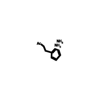 CC(=O)CCc1ccccc1.N.N